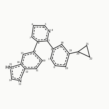 c1cc(-c2ncccc2-c2ccc3nc[nH]c3c2)cc(C2CC2)c1